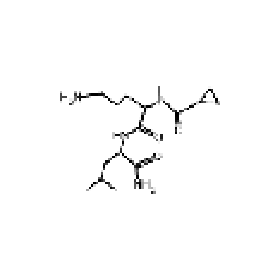 CC(C)CC(NC(=O)C(CCCN)NC(=O)C1CC1)C(N)=O